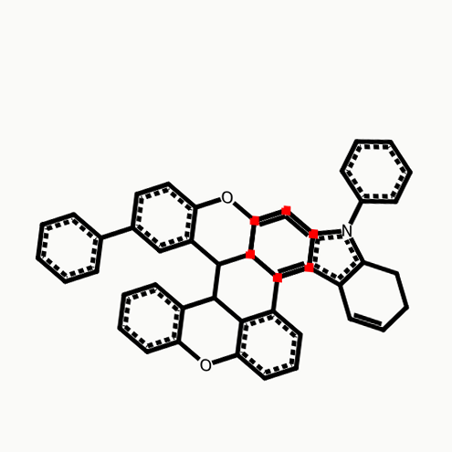 C1=CC2Oc3ccc(-c4ccccc4)cc3C(C3c4ccccc4Oc4cccc(C5CC=Cc6c5c5c(n6-c6ccccc6)CCC=C5)c43)C2C=C1